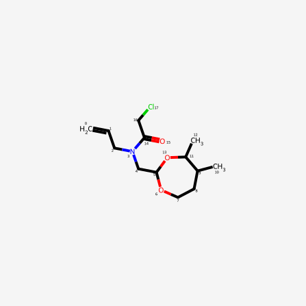 C=CCN(CC1OCCC(C)C(C)O1)C(=O)CCl